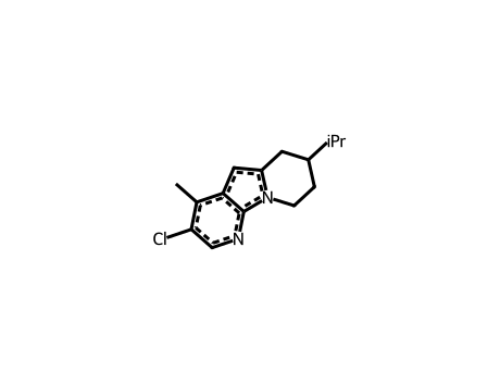 Cc1c(Cl)cnc2c1cc1n2CCC(C(C)C)C1